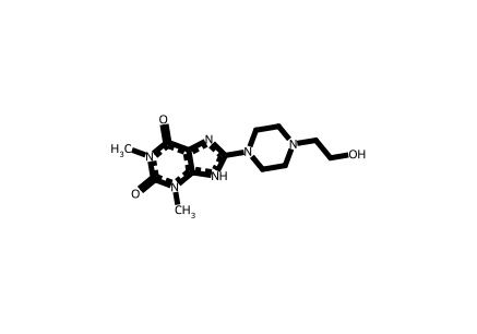 Cn1c(=O)c2nc(N3CCN(CCO)CC3)[nH]c2n(C)c1=O